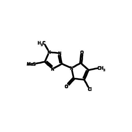 CSc1nc(N2C(=O)C(C)=C(Cl)C2=O)nn1C